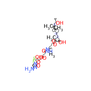 C=C1/C(=C\C=C2/CCC[C@@]3(C)C2CCC3[C@@H](C)/C=C/C(O)C2CC2)C[C@@H](O)C[C@@H]1OC(=O)CCC/C(C)=N/NC(=O)CCC(=O)OCC1OC(n2ccc(N)nc2=O)C(F)(F)C1O